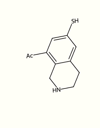 CC(=O)c1cc(S)cc2c1CNCC2